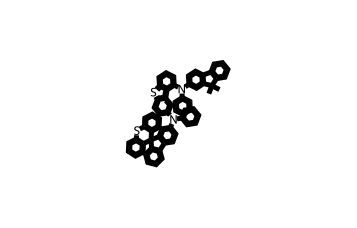 CC1(C)c2ccccc2-c2ccc(N(c3ccccc3)c3cccc4sc5ccc(N(c6ccccc6)c6ccc7c(c6)C6(c8ccccc8Sc8ccccc86)c6ccccc6-7)cc5c34)cc21